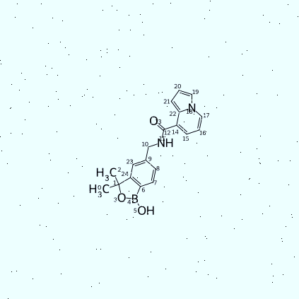 CC1(C)OB(O)c2ccc(CNC(=O)c3cccn4cccc34)cc21